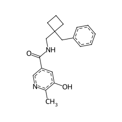 Cc1ncc(C(=O)NCC2(Cc3ccccc3)CCC2)cc1O